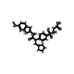 COc1ccc2nc(NC(=O)[C@H](CC3CCCC3)c3ccc(S(=O)(=O)NCC(=O)O)cc3)sc2n1